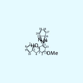 COc1cc(Cc2ccccc2)c(O)c(-n2nc3ccccc3n2)c1